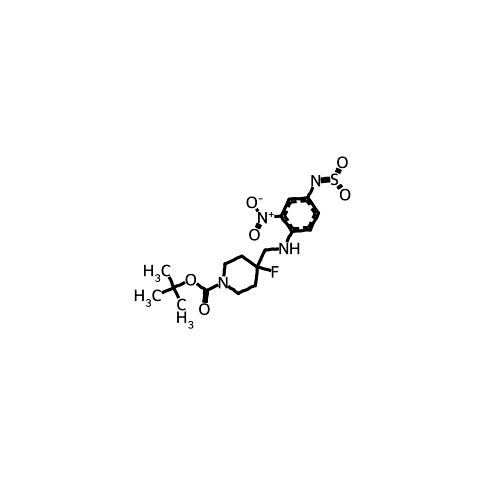 CC(C)(C)OC(=O)N1CCC(F)(CNc2ccc(N=S(=O)=O)cc2[N+](=O)[O-])CC1